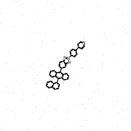 c1ccc2c(-c3c4ccccc4c(-c4ccc5nn(-c6ccc(-c7ccncc7)cc6)nc5c4)c4ccccc34)cccc2c1